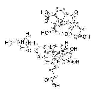 CNCC(NC)Oc1ccc2c(c1)CC(SCCC(=O)O)[C@@H]1[C@@H]2CC[C@]2(C)[C@@H](O)[C@H](O)C[C@@H]12.O=C(O)c1ccc2c(c1)C1(OC2=O)c2ccc(O)cc2Oc2cc(O)ccc21